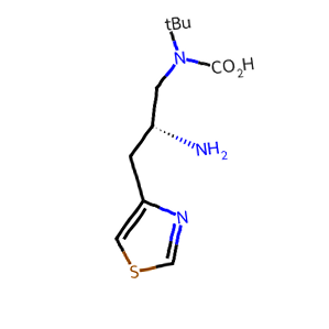 CC(C)(C)N(C[C@H](N)Cc1cscn1)C(=O)O